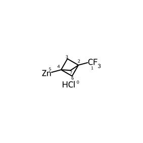 Cl.FC(F)(F)C12C[C]([Zn])(C1)C2